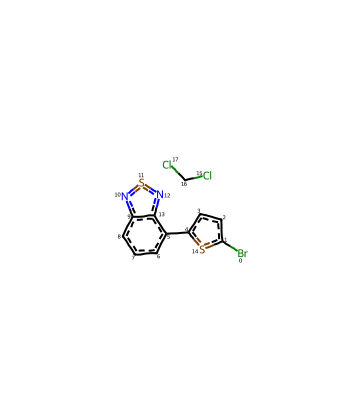 Brc1ccc(-c2cccc3nsnc23)s1.ClCCl